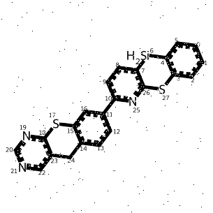 c1ccc2c(c1)[SiH2]c1ccc(-c3ccc4c(c3)Sc3ncncc3C4)nc1S2